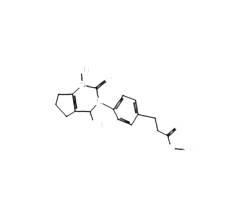 COC(=O)CCc1ccc(N2C(=O)N(C)C3=C(CCC3)C2O)cc1